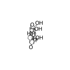 C[C@@H]1C[C@H]2[C@@H]3CCC4=CC(=O)C=C(F)[C@]4(C)[C@H]3C(O)C[C@]2(C)[C@@]1(O)C(=O)CO